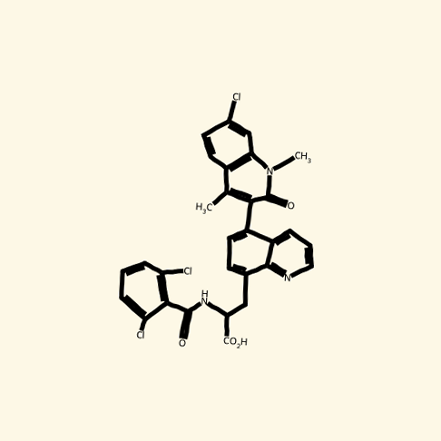 Cc1c(-c2ccc(CC(NC(=O)c3c(Cl)cccc3Cl)C(=O)O)c3ncccc23)c(=O)n(C)c2cc(Cl)ccc12